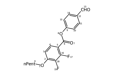 CCCCCOc1ccc(C(=O)Oc2ccc(C=O)cc2)c(F)c1F